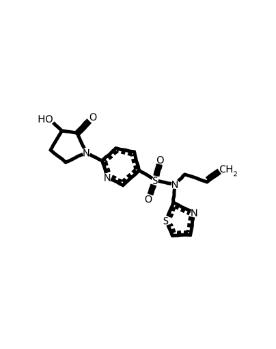 C=CCN(c1nccs1)S(=O)(=O)c1ccc(N2CCC(O)C2=O)nc1